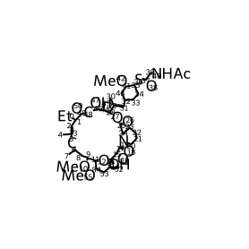 CCC1C=C(C)CC(C)CC(OC)C2OC(O)(C(=O)C(=O)N3CCCCC3C(=O)OC(C(C)=CC3CCC(SC(=O)CNC(C)=O)C(OC)C3)C(C)C(O)CC1=O)C(C)CC2OC